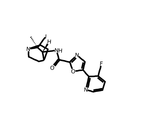 C[C@]1(I)[C@H](NC(=O)c2ncc(-c3ncccc3F)o2)C2CCN1CC2